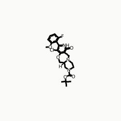 COc1cccc(F)c1-c1[nH]c(=O)c2c(c1Cl)OC[C@H]1CN(C(=O)OC(C)(C)C)CCN1C2